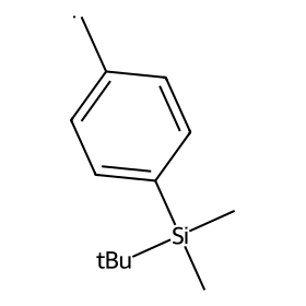 [CH2]c1ccc([Si](C)(C)C(C)(C)C)cc1